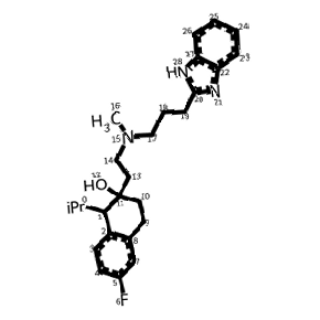 CC(C)C1c2ccc(F)cc2CCC1(O)CCN(C)CCCc1nc2ccccc2[nH]1